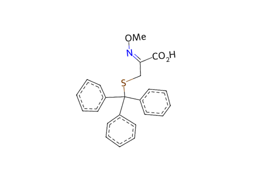 CON=C(CSC(c1ccccc1)(c1ccccc1)c1ccccc1)C(=O)O